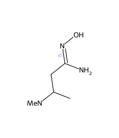 CNC(C)C/C(N)=N/O